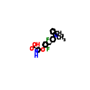 CN(C)[C@]1(c2ccccc2)CC[C@@H](Cc2c(F)ccc(O[C@@H]3CN[C@H](C(=O)O)C3)c2F)CC1